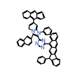 C1=C(c2c3ccccc3cc3ccccc23)C=C2N(C1)C(c1ccc3ccccc3c1)=C(c1ncnc(-c3c4ccccc4cc4cc5c(cc34)C(c3ccccc3)c3ccccc3-5)n1)N2c1ccccc1